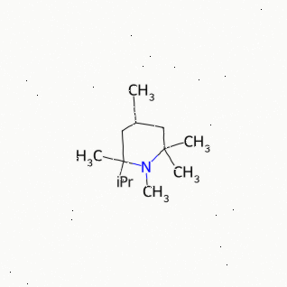 CC1CC(C)(C)N(C)C(C)(C(C)C)C1